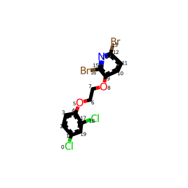 Clc1ccc(OCCOc2ccc(Br)nc2Br)c(Cl)c1